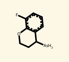 Fc1cccc2c1OCCC2[AsH2]